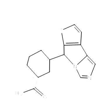 O=C(O)[C@@H]1CCCC(C2c3sccc3-c3cncn32)C1